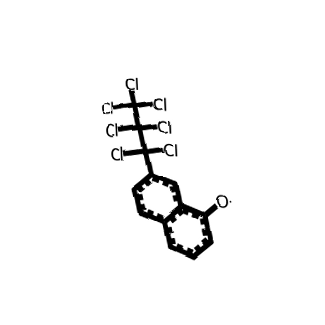 [O]c1cccc2ccc(C(Cl)(Cl)C(Cl)(Cl)C(Cl)(Cl)Cl)cc12